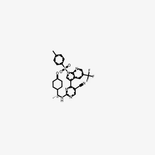 Cc1ccc(S(=O)(=O)n2cc(-c3nc(N[C@H](C)C4CCC(=O)CC4)ncc3C#N)c3cc(C(F)(F)F)cnc32)cc1